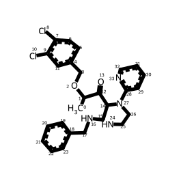 CC(OCc1ccc(Cl)c(Cl)c1)C(=O)C1C(NCc2ccccc2)NCCN1c1ccccn1